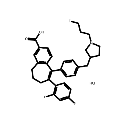 Cl.O=C(O)c1ccc2c(c1)CCCC(c1ccc(F)cc1F)=C2c1ccc(CC2CCN(CCCF)C2)cc1